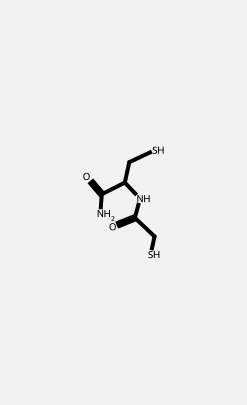 NC(=O)C(CS)NC(=O)CS